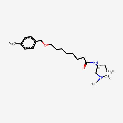 COc1ccc(COCCCCCCCC(=O)N[C@H](CC(=O)O)CN(C)C)cc1